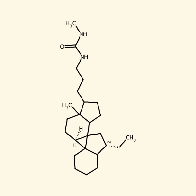 CC[C@H]1CC23C4CCC(CCCNC(=O)NC)C4(C)CC[C@@H]2C32CCCCC12